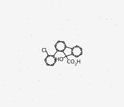 O=C(O)C1(O)c2ccccc2-c2cccc(-c3ccccc3Cl)c21